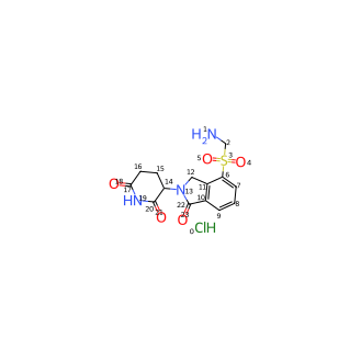 Cl.NCS(=O)(=O)c1cccc2c1CN(C1CCC(=O)NC1=O)C2=O